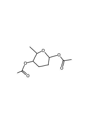 CC(=O)OC1CCC(OC(C)=O)C(C)O1